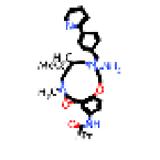 CCCC(=O)Nc1ccc2c(c1)C1OC1N(C)C[C@H](OC)[C@@H](C)CN(Cc1ccc(-c3ccccn3)cc1)[C@@H](N)CO2